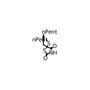 CCCCCC#CCC1(SCCCCC)SC(=O)NC1=O